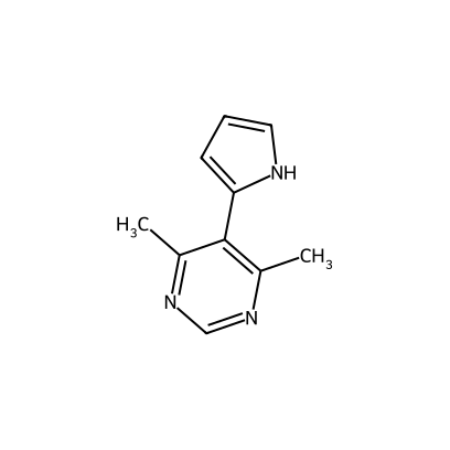 Cc1ncnc(C)c1-c1ccc[nH]1